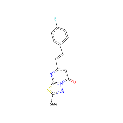 CSc1nn2c(=O)cc(/C=C/c3ccc(F)cc3)nc2s1